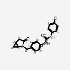 O=C(Nc1ccc(Cl)cc1)Nc1ccc(CN2C(=O)CC3CC32)cc1